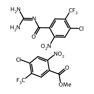 COC(=O)c1cc(C(F)(F)F)c(Cl)cc1[N+](=O)[O-].NC(N)=NC(=O)c1cc(C(F)(F)F)c(Cl)cc1[N+](=O)[O-]